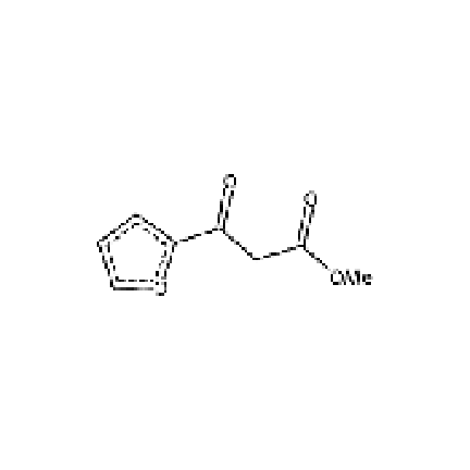 COC(=O)CC(=O)c1ccco1